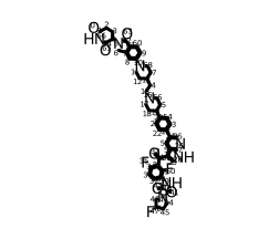 O=C1CCC(N2Cc3cc(N4CCC(CCN5CCC(c6ccc(-c7cnc8[nH]cc(C(=O)c9c(F)ccc(NS(=O)(=O)N%10CC[C@@H](F)C%10)c9F)c8c7)cc6)CC5)CC4)ccc3C2=O)C(=O)N1